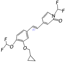 O=c1cc(/C=C/c2ccc(OC(F)F)c(OCC3CC3)c2)ccn1C(F)F